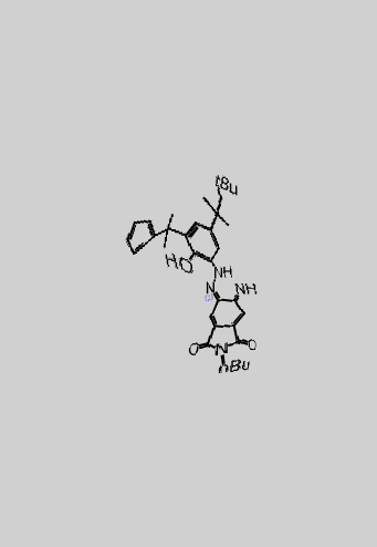 CCCCn1c(=O)c2cc(=N)/c(=N\Nc3cc(C(C)(C)CC(C)(C)C)cc(C(C)(C)c4ccccc4)c3O)cc-2c1=O